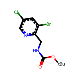 CC(C)(C)OC(=O)NCc1ncc(Cl)cc1Br